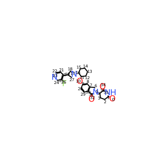 O=C1CCC(N2Cc3cc(O[C@@H]4CCCC[C@H]4N4CC(c5ccncc5F)C4)ccc3C2=O)C(=O)N1